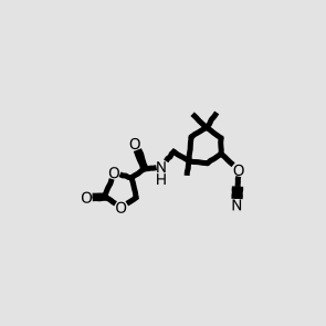 CC1(C)CC(OC#N)CC(C)(CNC(=O)C2COC(=O)O2)C1